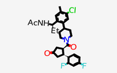 CC[C@H](NC(C)=O)c1cc(C)c(Cl)cc1C1CCN(C(=O)[C@@H]2CC(=O)C[C@H]2C2C=CC(F)=CC2F)CC1